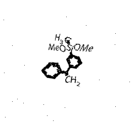 C=C(c1ccccc1)c1cccc([Si](C)(OC)OC)c1